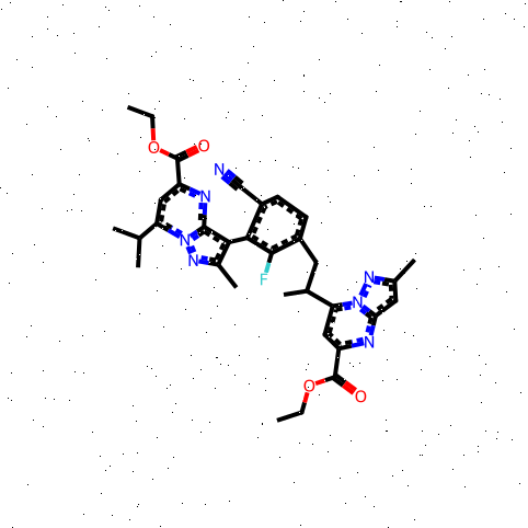 CCOC(=O)c1cc(C(C)Cc2ccc(C#N)c(-c3c(C)nn4c(C(C)C)cc(C(=O)OCC)nc34)c2F)n2nc(C)cc2n1